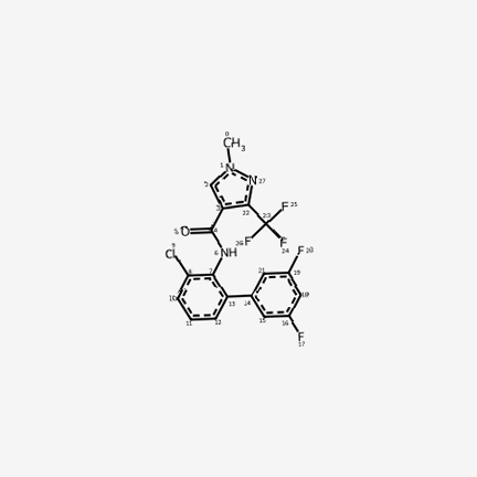 Cn1cc(C(=O)Nc2c(Cl)cccc2-c2cc(F)cc(F)c2)c(C(F)(F)F)n1